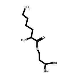 CC(C)(C)C(CCOC(=O)C(N)CCCCN)C(C)(C)C